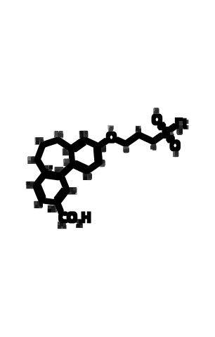 CCS(=O)(=O)CCCOc1ccc2c(c1)CCCc1ccc(C(=O)O)cc1-2